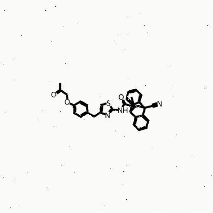 CC(=O)COc1ccc(Cc2csc(NC(=O)C3(C)CC4(C#N)c5ccccc5C3c3ccccc34)n2)cc1